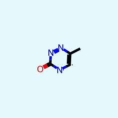 CC1=[C][N]C(=O)N=N1